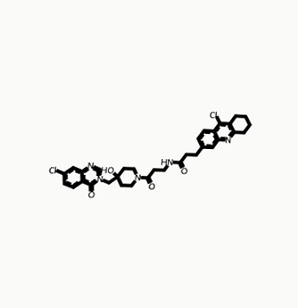 O=C(CCc1ccc2c(Cl)c3c(nc2c1)CCCC3)NCCC(=O)N1CCC(O)(Cn2cnc3cc(Cl)ccc3c2=O)CC1